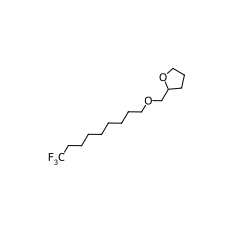 FC(F)(F)CCCCCCCCOCC1CCCO1